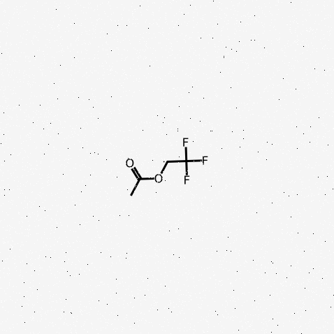 CC(=O)O[CH]C(F)(F)F